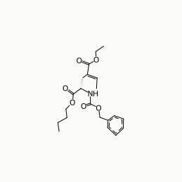 C/C=C(\C[C@H](NC(=O)OCc1ccccc1)C(=O)OCCCC)C(=O)OCC